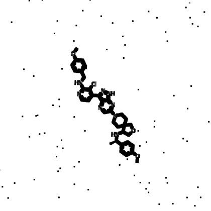 COc1ccc(CNc2nccc(-c3n[nH]c4nc(N5CCC6(CC5)COCC6N[C@H](C)c5ccc(OC)cc5)cnc34)c2Cl)cc1